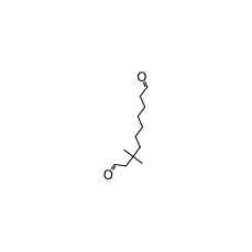 CC(C)(CC=O)CCCCCCC=O